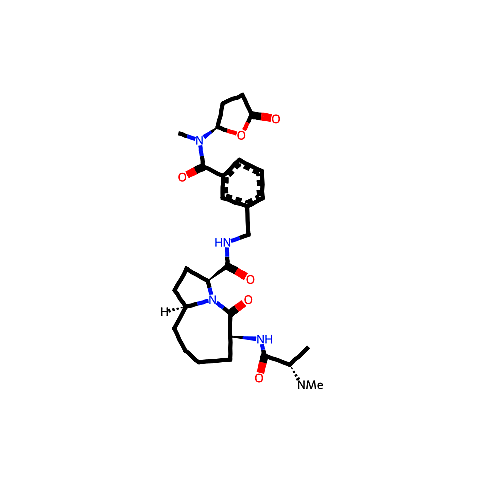 CN[C@@H](C)C(=O)N[C@H]1CCCC[C@H]2CC[C@@H](C(=O)NCc3cccc(C(=O)N(C)[C@H]4CCC(=O)O4)c3)N2C1=O